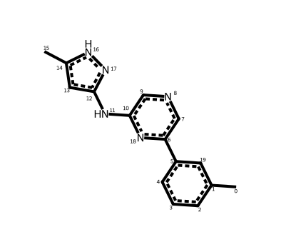 Cc1cccc(-c2cncc(Nc3cc(C)[nH]n3)n2)c1